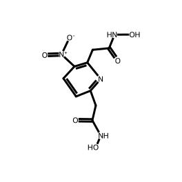 O=C(Cc1ccc([N+](=O)[O-])c(CC(=O)NO)n1)NO